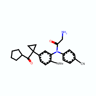 CNc1ccc(C2(C(=O)C3CCCC3)CC2)cc1N(C(=O)CN)c1ccc(C#N)cc1